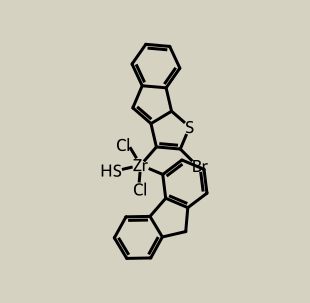 [SH][Zr]([Cl])([Cl])([C]1=C(Br)SC2C1=Cc1ccccc12)[c]1cccc2c1-c1ccccc1C2